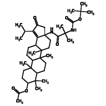 CC(=O)OC1CCC2(C)C(CCC3(C)C2CCC2C4=C(C(C)C)C(=O)CC4(NC(=O)C(C)(C)NC(=O)OC(C)(C)C)CCC23C)C1(C)C